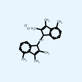 CC1=C(C)[CH]([Zr+2][CH]2C(C)=C(C)c3c(C)cccc32)c2cccc(C)c21.[Cl-].[Cl-]